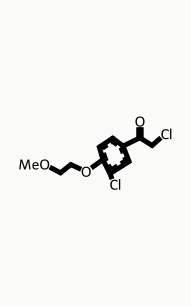 COCCOc1ccc(C(=O)CCl)cc1Cl